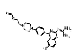 NC(N)=Nc1nc(-c2ccc(N3CCN(CCOC=O)CC3)cc2)c2cc(Cl)ccc2n1